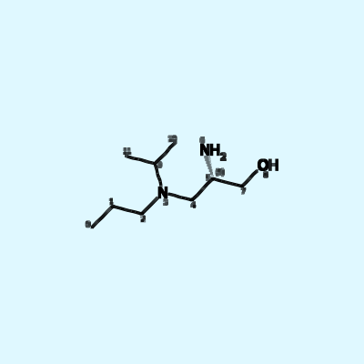 CCCN(C[C@H](N)CO)C(C)C